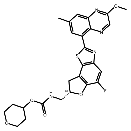 COc1cnc2c(-c3nc4cc(F)c5c(c4s3)C[C@@H](CNC(=O)OC3CCOCC3)O5)cc(C)cc2n1